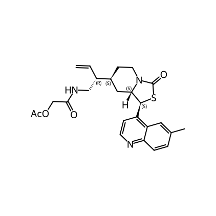 C=C[C@@H](CNC(=O)COC(C)=O)[C@H]1CCN2C(=O)S[C@@H](c3ccnc4ccc(C)cc34)[C@@H]2C1